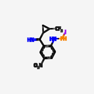 N=C(c1cc([N+](=O)[O-])ccc1NPI)C1CC1C(F)(F)F